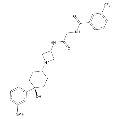 CSc1cccc([C@]2(O)CC[C@H](N3CC(NC(=O)CNC(=O)c4cccc(C(F)(F)F)c4)C3)CC2)c1